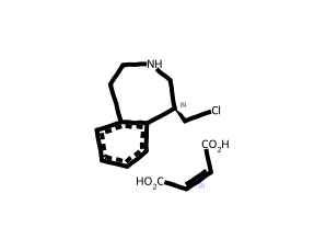 ClC[C@@H]1CNCCc2ccccc21.O=C(O)/C=C\C(=O)O